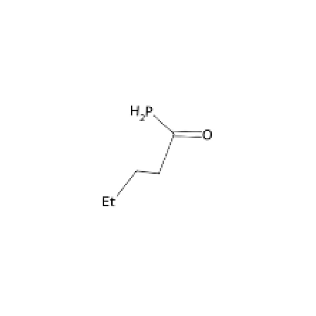 CCCCC(=O)P